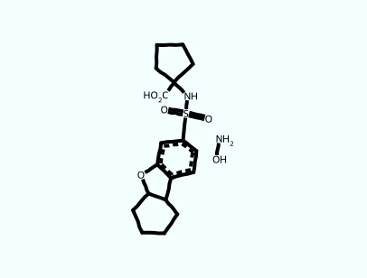 NO.O=C(O)C1(NS(=O)(=O)c2ccc3c(c2)OC2CCCCC32)CCCC1